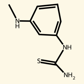 CNc1cccc(NC(N)=S)c1